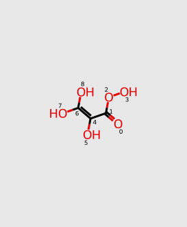 O=C(OO)C(O)=C(O)O